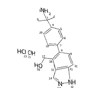 CC(C)(N)c1ccc(-c2ccc3[nH]ncc3c2CO)cc1.Cl.Cl